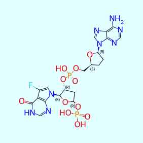 Nc1ncnc2c1ncn2[C@H]1CC[C@@H](COP(=O)(O)O[C@@H]2C[C@@H](OP(=O)(O)O)O[C@H]2n2cc(F)c3c(=O)[nH]cnc32)O1